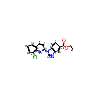 CCOC(=O)c1ccc2c(c1)ncn2-c1ccc2cccc(Cl)c2n1